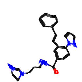 O=C(NCCCn1ccnc1)c1ccc(-n2cccn2)c(CCc2ccccc2)c1